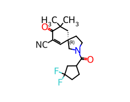 CC1(C)C[C@]2(C=C(C#N)C1=O)CCN(C(=O)C1CCC(F)(F)C1)C2